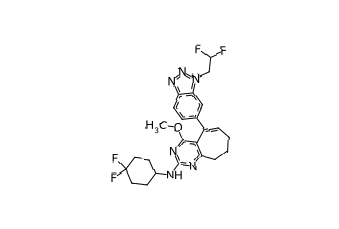 COc1nc(NC2CCC(F)(F)CC2)nc2c1C(c1ccc3nnn(CC(F)F)c3c1)=CCCC2